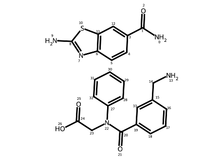 NC(=O)c1ccc2nc(N)sc2c1.NCc1cccc(C(=O)N(CC(=O)O)c2ccccc2)c1